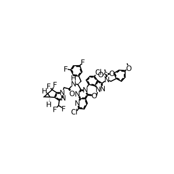 COc1ccc(CN(c2nn(C)c3c(-n4c([C@H](Cc5cc(F)cc(F)c5)NC(=O)Cn5nc(C(F)F)c6c5C(F)(F)[C@@H]5C[C@H]65)nc5nc(Cl)ccc5c4=O)ccc(Cl)c23)S(C)(=O)=O)cc1